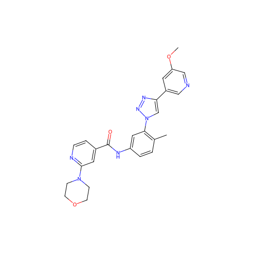 COc1cncc(-c2cn(-c3cc(NC(=O)c4ccnc(N5CCOCC5)c4)ccc3C)nn2)c1